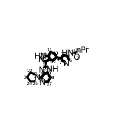 CCCC(=O)Nc1cncc(-c2ccc3[nH]nc(-c4nc5c(N6CCCCC6)nccc5[nH]4)c3c2)c1